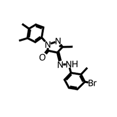 CC1=NN(c2ccc(C)c(C)c2)C(=O)/C1=N/Nc1cccc(Br)c1C